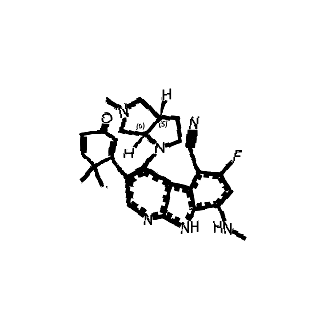 [CH2]C1(C)C=CC(=O)C=C1c1cnc2[nH]c3c(NC)cc(F)c(C#N)c3c2c1N1CC[C@H]2CN(C)C[C@H]21